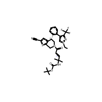 CCn1cc(-c2ccccc2[C@@H]2CN(C(=O)/C=C/C(C)(C)NC(=O)OC(C)(C)C)Cc3sc(C#N)cc32)c(C(F)(F)F)n1